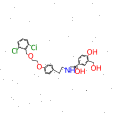 OCc1cc([C@@H](O)CNCCc2ccc(OCCOCc3c(Cl)cccc3Cl)cc2)ccc1O